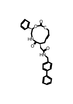 O=C(C[C@@H]1C/C=C/CCC(=O)O[C@H](c2ccccc2)CNC1=O)NCc1ccc(-c2ccccc2)cc1